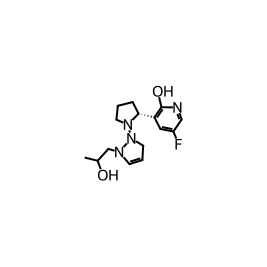 CC(O)CN1C=CCN1N1CCC[C@@H]1c1cc(F)cnc1O